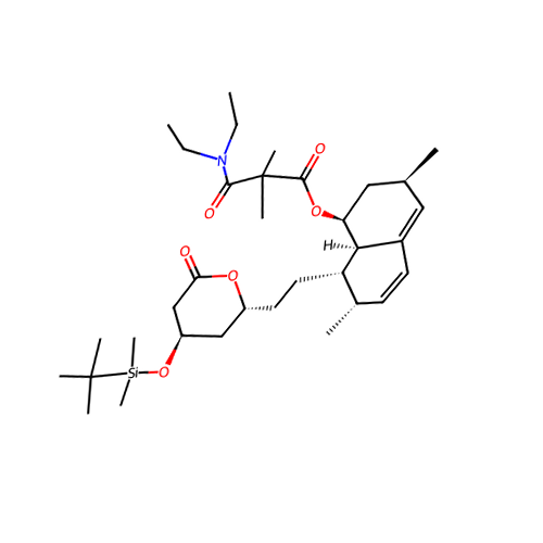 CCN(CC)C(=O)C(C)(C)C(=O)O[C@H]1C[C@@H](C)C=C2C=C[C@H](C)[C@H](CC[C@@H]3C[C@@H](O[Si](C)(C)C(C)(C)C)CC(=O)O3)[C@H]21